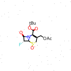 CC(=O)OCC1=C(C(=O)OC(C)(C)C)N2C(=O)[C@@H](F)C2[S+]([O-])C1